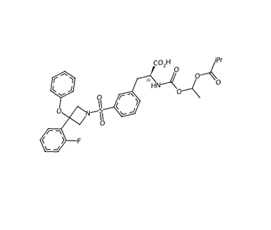 CC(OC(=O)N[C@@H](Cc1cccc(S(=O)(=O)N2CC(Oc3ccccc3)(c3ccccc3F)C2)c1)C(=O)O)OC(=O)C(C)C